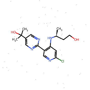 C[C@@H](CCO)Nc1cc(Cl)ncc1-c1ncc(C(C)(C)O)cn1